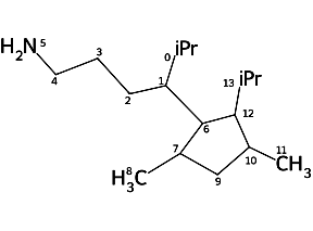 CC(C)C(CCCN)C1C(C)CC(C)C1C(C)C